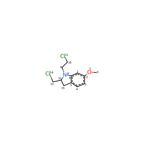 COc1ccc2c(c1)N(CCCl)C(CCl)C2